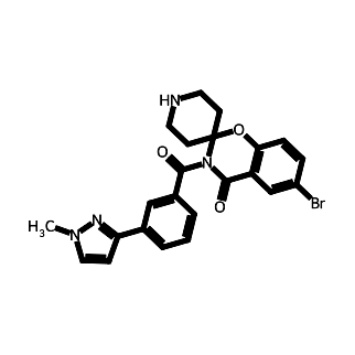 Cn1ccc(-c2cccc(C(=O)N3C(=O)c4cc(Br)ccc4OC34CCNCC4)c2)n1